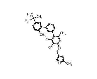 Cc1nc(COc2nc(C)n(-c3cccc(-c4nc(C(C)(C)C)ncc4C)c3)c(=O)c2Cl)co1